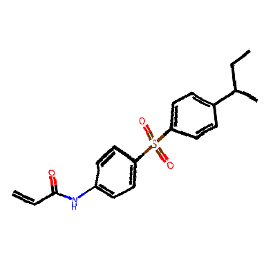 C=CC(=O)Nc1ccc(S(=O)(=O)c2ccc(C(C)CC)cc2)cc1